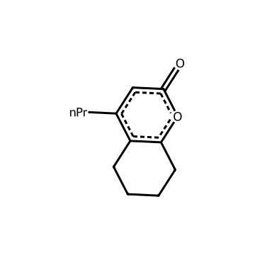 CCCc1cc(=O)oc2c1CCCC2